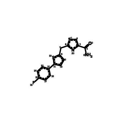 NC(=O)c1csc(Cc2ccc(-c3ccc(F)cc3)s2)n1